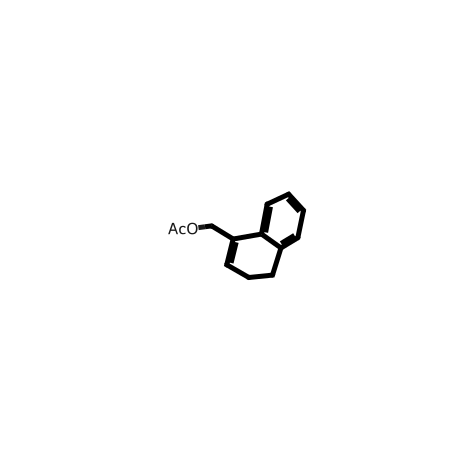 CC(=O)OCC1=CCCc2ccccc21